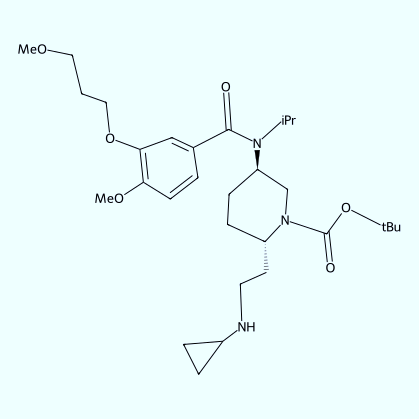 COCCCOc1cc(C(=O)N(C(C)C)[C@@H]2CC[C@@H](CCNC3CC3)N(C(=O)OC(C)(C)C)C2)ccc1OC